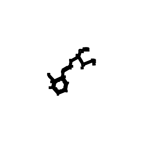 CCOC(C/N=C/c1ccccc1C)OCC